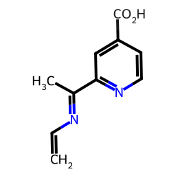 C=C/N=C(\C)c1cc(C(=O)O)ccn1